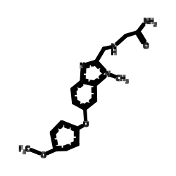 Cn1c(CNCC(N)=O)nc2ccc(Oc3ccc(OC(F)(F)F)cc3)cc21